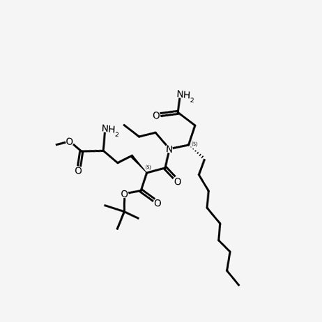 CCCCCCCCC[C@@H](CC(N)=O)N(CCC)C(=O)[C@H](CCC(N)C(=O)OC)C(=O)OC(C)(C)C